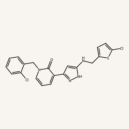 O=c1c(-c2cc(NCc3ccc(Cl)s3)[nH]n2)cccn1Cc1ccccc1Cl